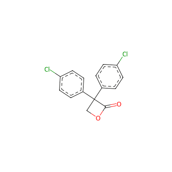 O=C1OCC1(c1ccc(Cl)cc1)c1ccc(Cl)cc1